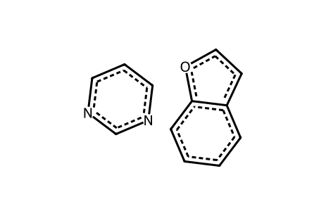 c1ccc2occc2c1.c1cncnc1